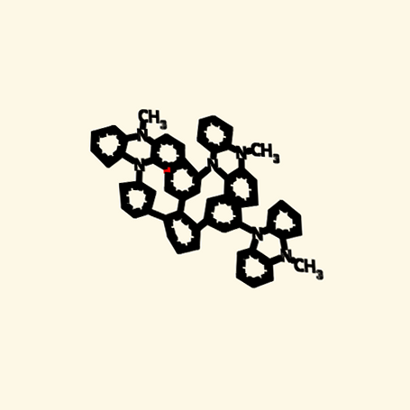 CN1c2ccccc2N(c2cccc(-c3cccc(-c4cccc(N5c6ccccc6N(C)c6ccccc65)c4)c3-c3cccc(N4c5ccccc5N(C)c5ccccc54)c3)c2)c2ccccc21